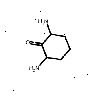 NC1CCCC(N)C1=O